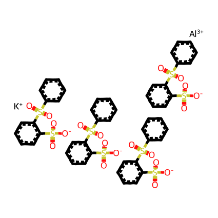 O=S(=O)([O-])c1ccccc1S(=O)(=O)c1ccccc1.O=S(=O)([O-])c1ccccc1S(=O)(=O)c1ccccc1.O=S(=O)([O-])c1ccccc1S(=O)(=O)c1ccccc1.O=S(=O)([O-])c1ccccc1S(=O)(=O)c1ccccc1.[Al+3].[K+]